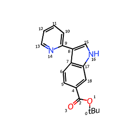 CC(C)(C)OC(=O)c1ccc2c(-c3ccccn3)c[nH]c2c1